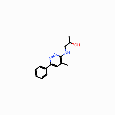 Cc1cc(-c2ccccc2)nnc1NCC(C)O